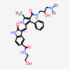 CCN(CC)CC(O)CNC(=O)c1c(C)[nH]c(/C=C2\C(=O)Nc3ccc(C(=O)NCCO)cc32)c1-c1ccccc1